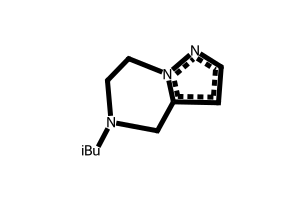 CCC(C)N1CCn2nccc2C1